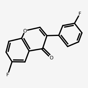 O=c1c(-c2cccc(F)c2)coc2ccc(F)cc12